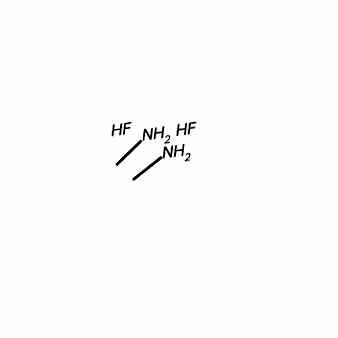 CN.CN.F.F